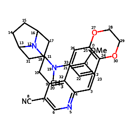 COc1ccc2ncc(C#N)c(CCN3C4CCC3CC(N(C)c3ccc5c(c3)OCCO5)C4)c2c1